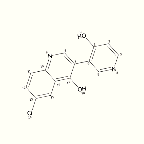 Oc1ccncc1-c1cnc2ccc(Cl)cc2c1O